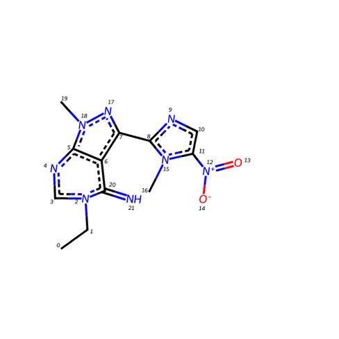 CCn1cnc2c(c(-c3ncc([N+](=O)[O-])n3C)nn2C)c1=N